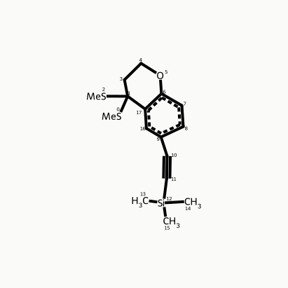 CSC1(SC)CCOc2ccc(C#C[Si](C)(C)C)cc21